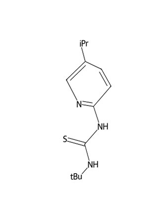 CC(C)c1ccc(NC(=S)NC(C)(C)C)nc1